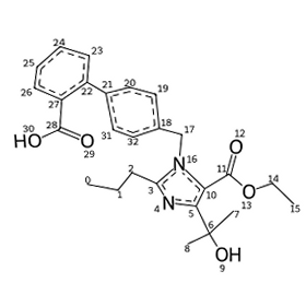 CCCc1nc(C(C)(C)O)c(C(=O)OCC)n1Cc1ccc(-c2ccccc2C(=O)O)cc1